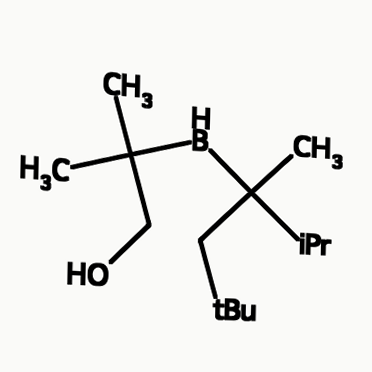 CC(C)C(C)(BC(C)(C)CO)CC(C)(C)C